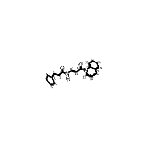 O=C(CCC1CCCC1)NCCC(=O)N1CCCC2CCCC=C21